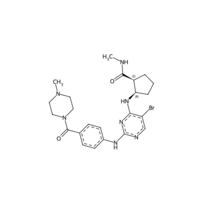 CNC(=O)[C@H]1CCC[C@H]1Nc1nc(Nc2ccc(C(=O)N3CCN(C)CC3)cc2)ncc1Br